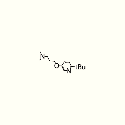 CN(C)CCCOc1ccc(C(C)(C)C)nc1